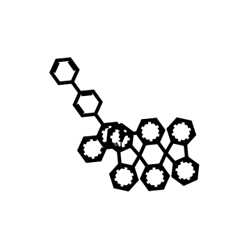 C1=CCC(C2=CCC(c3cc(-c4cccc5c4C4(c6ccccc6-c6ccccc64)c4ccccc4C54c5ccccc5-c5ccccc54)nc4ccccc34)C=C2)C=C1